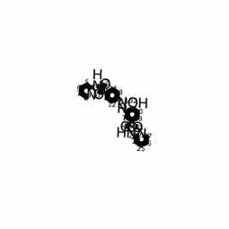 O=S(=O)(Nc1ccccn1)c1ccc(N=Nc2cc(S(=O)(=O)Nc3ccccn3)ccc2O)cc1